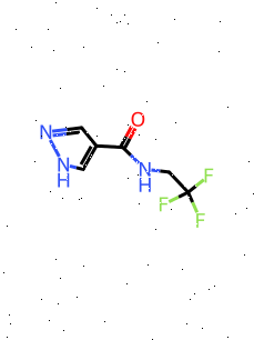 O=C(NCC(F)(F)F)c1cn[nH]c1